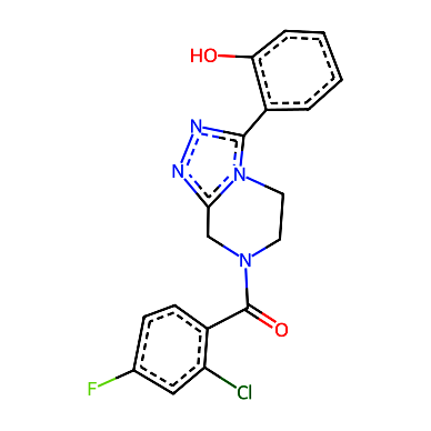 O=C(c1ccc(F)cc1Cl)N1CCn2c(nnc2-c2ccccc2O)C1